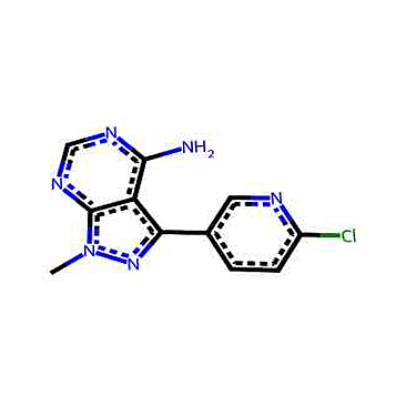 Cn1nc(-c2ccc(Cl)nc2)c2c(N)ncnc21